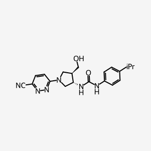 CC(C)c1ccc(NC(=O)N[C@@H]2CN(c3ccc(C#N)nn3)C[C@H]2CO)cc1